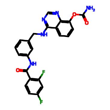 NC(=O)Oc1cccc2c(NCc3cccc(NC(=O)c4ccc(F)cc4F)c3)ncnc12